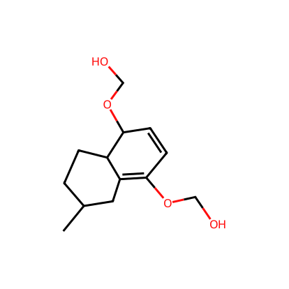 CC1CCC2C(=C(OCO)C=CC2OCO)C1